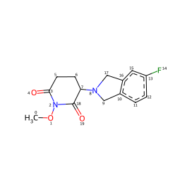 CON1C(=O)CCC(N2Cc3ccc(F)cc3C2)C1=O